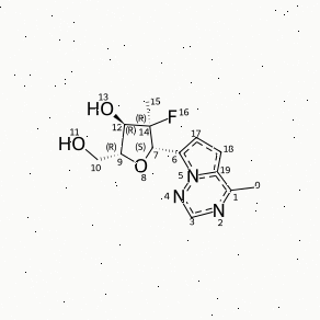 Cc1ncnn2c([C@@H]3O[C@H](CO)[C@@H](O)[C@@]3(C)F)ccc12